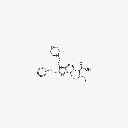 CCC1CCc2c(ccc3c2nc(CCc2ccccc2)n3CCN2CCOCC2)N1C(=O)O